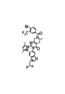 Cc1cc(C)n(-c2nc3c(c(=O)n2-c2ccc4c(c2)ncn4CC(F)F)CC(C)N(C(=O)c2ccc(Br)c(C(F)(F)F)c2)C3)n1